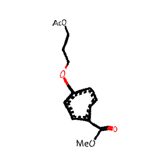 COC(=O)c1ccc(OCCCOC(C)=O)cc1